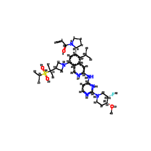 C=CC(=O)N1CCC[C@@H]1c1cc(N2CC(C(C)(C)S(=O)(=O)C(C)C)C2)c2cnc(Nc3ccnc(N4CC[C@@H](OC)[C@@H](F)C4)n3)cc2c1C(C)C